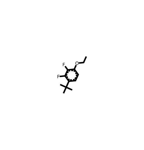 CCOc1ccc(C(C)(C)C)c(F)c1F